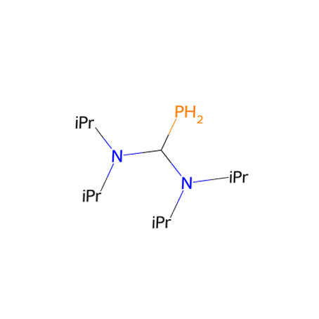 CC(C)N(C(C)C)C(P)N(C(C)C)C(C)C